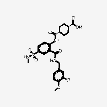 CNS(=O)(=O)c1ccc(NC(=O)[C@H]2CC[C@H](C(=O)O)CC2)c(C(=O)NCc2ccc(OC)c(Cl)c2)c1